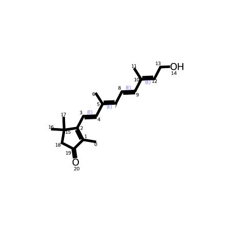 CC1=C(/C=C/C(C)=C/C=C/C(C)=C/CO)C(C)(C)CC1=O